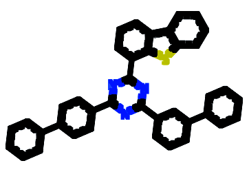 c1ccc(-c2ccc(-c3nc(-c4cccc(-c5ccccc5)c4)nc(-c4cccc5c4sc4ccccc45)n3)cc2)cc1